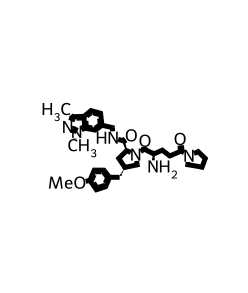 COc1ccc(C[C@@H]2C[C@@H](C(=O)NCc3ccc4c(C)nn(C)c4c3)N(C(=O)[C@H](N)CCC(=O)N3CCCC3)C2)cc1